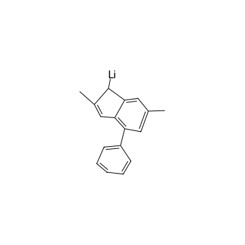 [Li][CH]1C(C)=Cc2c(-c3ccccc3)cc(C)cc21